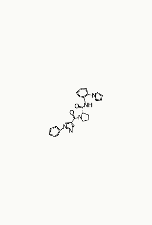 O=C(Nc1ccccc1-n1cccc1)[C@@H]1CCCN1C(=O)c1cnn(-c2ccccc2)c1